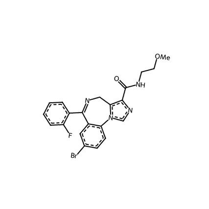 COCCNC(=O)c1ncn2c1CN=C(c1ccccc1F)c1cc(Br)ccc1-2